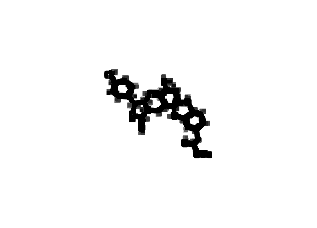 Bc1ccc(Oc2cc(CC(=O)OC)ccc2OC)c(CN2C(=O)O[C@@H](c3ccc(Cl)cc3)[C@H]2C)c1